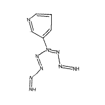 N=NN=N[N+](=NN=N)c1[c]nccc1